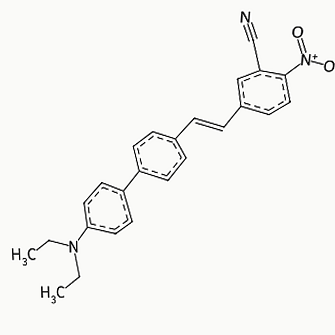 CCN(CC)c1ccc(-c2ccc(C=Cc3ccc([N+](=O)[O-])c(C#N)c3)cc2)cc1